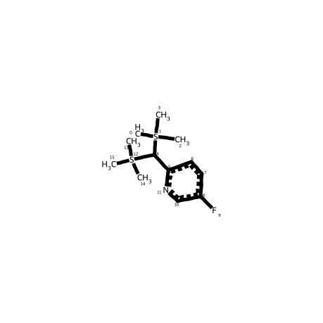 CS(C)(C)C(c1ccc(F)cn1)S(C)(C)C